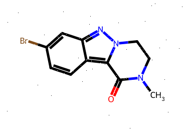 CN1CCn2nc3cc(Br)ccc3c2C1=O